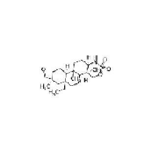 CC[C@]12CC[C@@H]3[C@]4(C)COS(=O)(=O)N[C@@H]4CC[C@@]3(C)[C@@H]1CC[C@](C)(C=O)C2